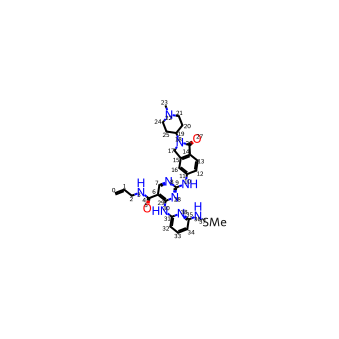 C=CCNC(=O)c1cnc(Nc2ccc3c(c2)CN(C2CCN(C)CC2)C3=O)nc1Nc1cccc(NSC)n1